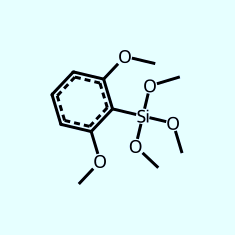 COc1cccc(OC)c1[Si](OC)(OC)OC